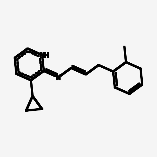 CC1CC=CC=C1C/C=C/N=c1\[nH]cccc1C1CC1